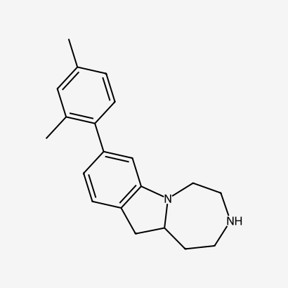 Cc1ccc(-c2ccc3c(c2)N2CCNCCC2C3)c(C)c1